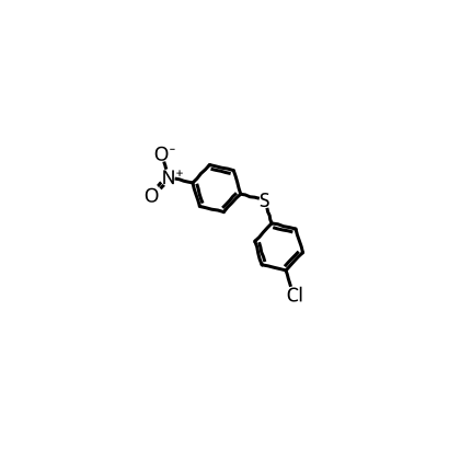 O=[N+]([O-])c1ccc(Sc2ccc(Cl)cc2)cc1